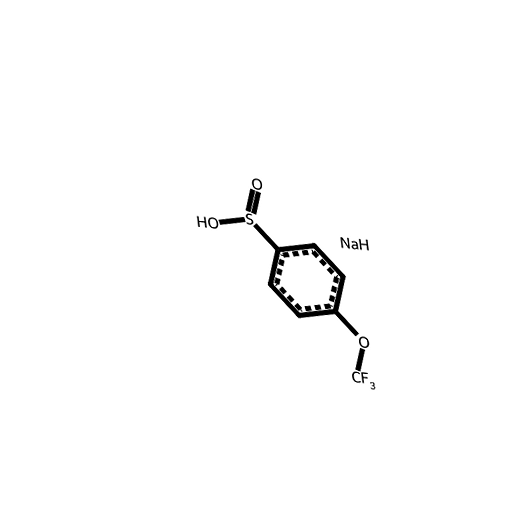 O=S(O)c1ccc(OC(F)(F)F)cc1.[NaH]